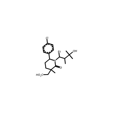 CCC(C(C)C(C)(C)O)N1C(=O)C(C)(CC(=O)O)CCC1c1ccc(Cl)cc1